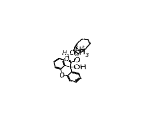 C[N+]1(C)C2CCCC1[C@H](OC(=O)C1(O)c3ccccc3Oc3ccccc31)C2